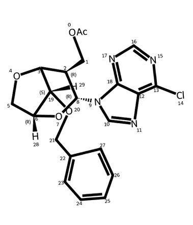 CC(=O)OC[C@@H]1C2OC[C@@H](O[C@H]1n1cnc3c(Cl)ncnc31)[C@H]2OCc1ccccc1